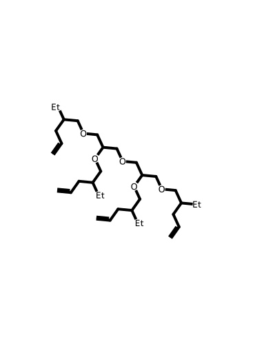 C=CCC(CC)COCC(COCC(COCC(CC)CC=C)OCC(CC)CC=C)OCC(CC)CC=C